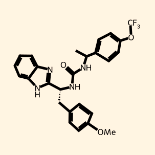 COc1ccc(C[C@@H](NC(=O)NC(C)c2ccc(OC(F)(F)F)cc2)c2nc3ccccc3[nH]2)cc1